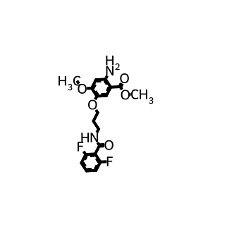 COC(=O)c1cc(OCCCNC(=O)c2c(F)cccc2F)c(OC)cc1N